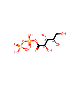 O=C(OP(=O)(O)OP(=O)(O)O)[C@H](O)[C@H](O)[C@H](O)CO